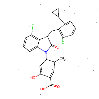 CC1C=C(C(=O)O)C(O)=CC1N1C(=O)C(Cc2c(Cl)cccc2C2CC2)c2c(Cl)cccc21